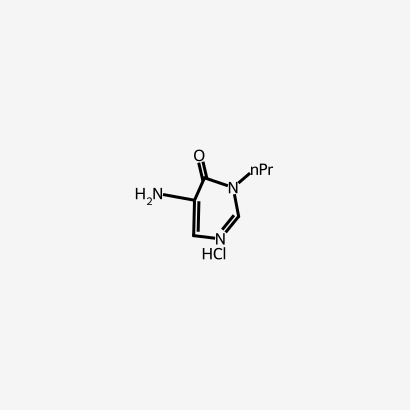 CCCn1cncc(N)c1=O.Cl